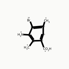 Cc1cc(C(=O)O)c(C)c(N)c1Br